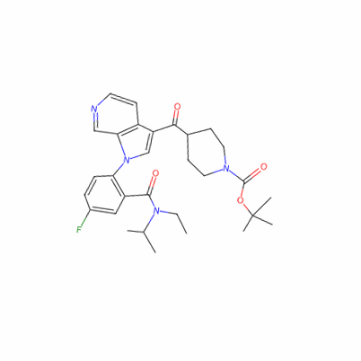 CCN(C(=O)c1cc(F)ccc1-n1cc(C(=O)C2CCN(C(=O)OC(C)(C)C)CC2)c2ccncc21)C(C)C